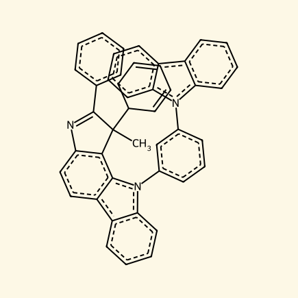 CC1(C2C=CC=CC2)C(c2ccccc2)=Nc2ccc3c4ccccc4n(-c4cccc(-n5c6ccccc6c6ccccc65)c4)c3c21